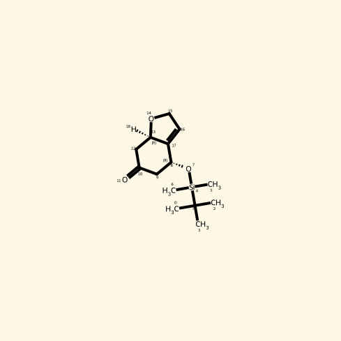 CC(C)(C)[Si](C)(C)O[C@@H]1CC(=O)C[C@H]2OCC=C21